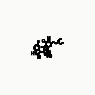 CCN(CC)CCC1Cc2c(c(C)c(C=C3C(=O)Nc4ccc(F)cc43)n2OS(C)(=O)=O)C(=O)N1